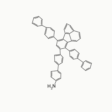 Nc1ccc(-c2ccc(-c3cc(-c4ccc(-c5ccccc5)cc4)c4c(c3-c3ccc(-c5ccccc5)cc3)-c3cccc5cccc-4c35)cc2)cc1